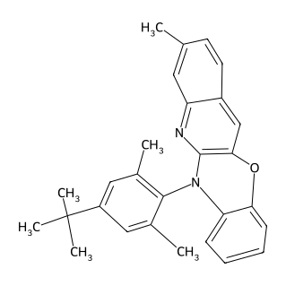 Cc1ccc2cc3c(nc2c1)N(c1c(C)cc(C(C)(C)C)cc1C)c1ccccc1O3